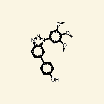 COc1cc(-n2nnc3ccc(-c4ccc(O)cc4)cc32)cc(OC)c1OC